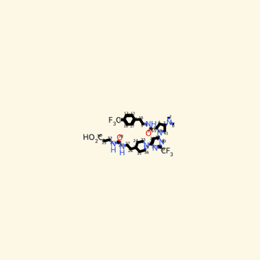 CN(C)[C@@H]1C[C@@H](C(=O)NCCc2ccc(C(F)(F)F)cc2)N(c2cc(N3CCC(CCNC(=O)NCCC(=O)O)CC3)nc(C(F)(F)F)n2)C1